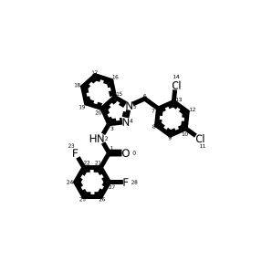 O=C(Nc1nn(Cc2ccc(Cl)cc2Cl)c2ccccc12)c1c(F)cccc1F